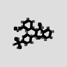 CS(=O)(=O)c1ccc(-c2oc3ccccc3c(=O)c2-c2cccc([N+](=O)[O-])c2)cc1